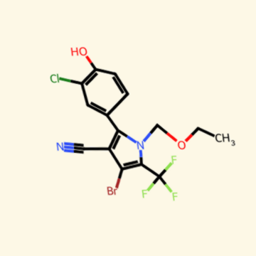 CCOCn1c(-c2ccc(O)c(Cl)c2)c(C#N)c(Br)c1C(F)(F)F